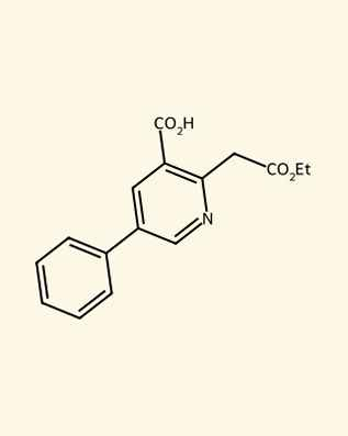 CCOC(=O)Cc1ncc(-c2ccccc2)cc1C(=O)O